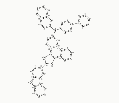 c1ccc(-c2ccc(N(c3ccc4ccccc4c3)c3ccc4c5c(c6ccccc6c4c3)SC(c3ccc4oc6ccccc6c4c3)N5)cc2)cc1